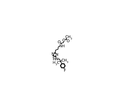 CC(=O)OCC(=O)NCCCc1nsc(NCC(C)(C)c2ccc(F)cc2)n1